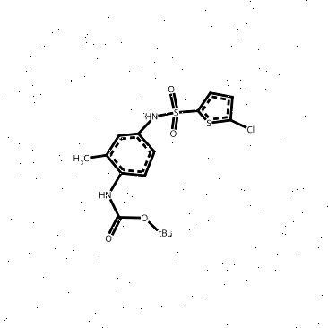 Cc1cc(NS(=O)(=O)c2ccc(Cl)s2)ccc1NC(=O)OC(C)(C)C